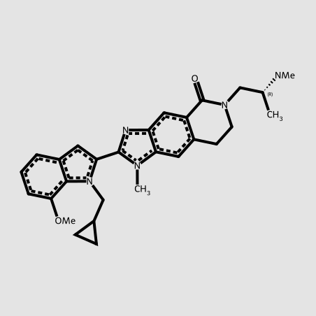 CN[C@H](C)CN1CCc2cc3c(cc2C1=O)nc(-c1cc2cccc(OC)c2n1CC1CC1)n3C